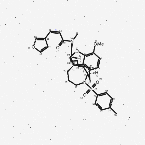 COc1ccc2c3c1O[C@H]1[C@H](N(C)C(=O)/C=C\c4ccoc4)CC[C@@]4(O)[C@@H](C2)N(S(=O)(=O)c2ccc(C)cc2)CCC[C@]314